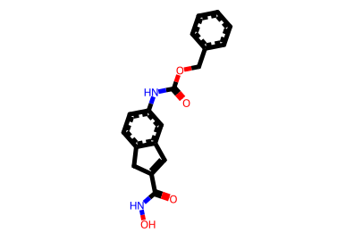 O=C(Nc1ccc2c(c1)C=C(C(=O)NO)C2)OCc1ccccc1